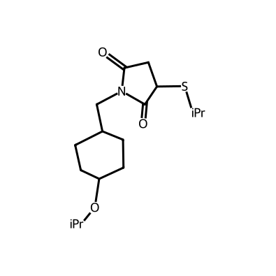 CC(C)OC1CCC(CN2C(=O)CC(SC(C)C)C2=O)CC1